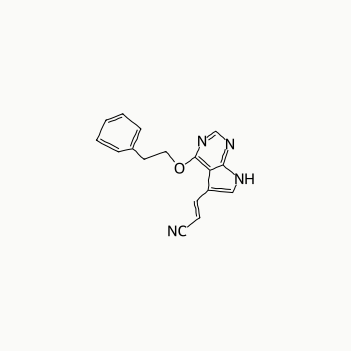 N#CC=Cc1c[nH]c2ncnc(OCCc3ccccc3)c12